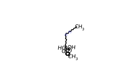 CCCCC/C=C/C/C=C\CCCCCCC[C@@H](O)C(C(=O)O)[S+]([O-])c1ccc(C)cc1